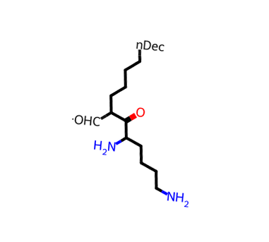 CCCCCCCCCCCCCCC([C]=O)C(=O)C(N)CCCCN